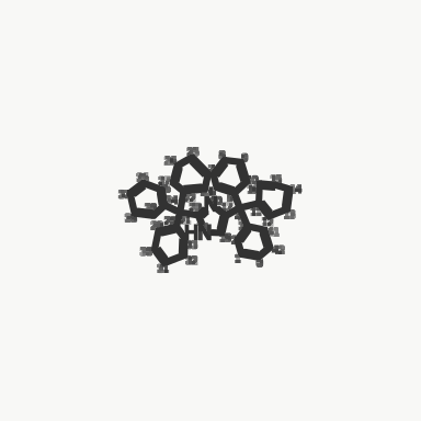 c1ccc(C(c2ccccc2)(c2ccccc2)c2c[nH]c(C(c3ccccc3)(c3ccccc3)c3ccccc3)n2)cc1